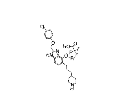 CC(C)Oc1c(CCCC2CCNCC2)ccc2[nH]c(COc3ccc(Cl)cc3)nc12.O=C(O)C(F)(F)F